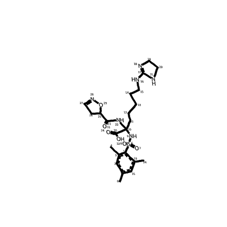 Cc1cc(C)c(S(=O)(=O)NC(CCCCCNC2=NCCN2)(NC(=O)C2CC=NO2)C(=O)O)c(C)c1